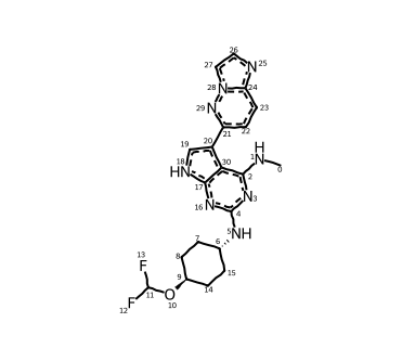 CNc1nc(N[C@H]2CC[C@H](OC(F)F)CC2)nc2[nH]cc(-c3ccc4nccn4n3)c12